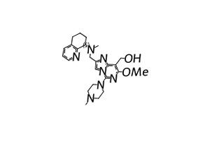 COc1nc(N2CCN(C)CC2)n2cc(CN(C)[C@H]3CCCc4cccnc43)nc2c1CO